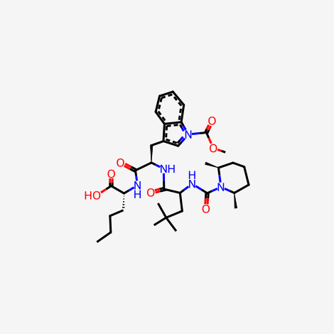 CCCC[C@@H](NC(=O)[C@@H](Cc1cn(C(=O)OC)c2ccccc12)NC(=O)C(CC(C)(C)C)NC(=O)N1[C@H](C)CCC[C@@H]1C)C(=O)O